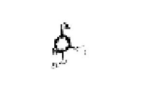 CCOc1ncc(C(C)(C)C)cc1C(F)(F)F